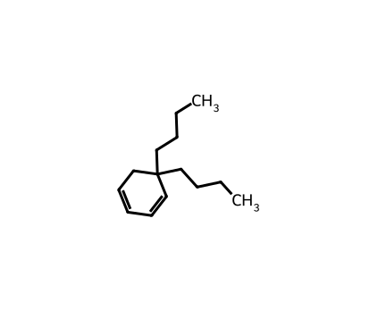 CCCCC1(CCCC)C=CC=CC1